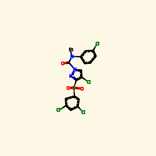 CCN(C(=O)n1cc(Cl)c(S(=O)(=O)c2cc(Cl)cc(Cl)c2)n1)c1cccc(Cl)c1